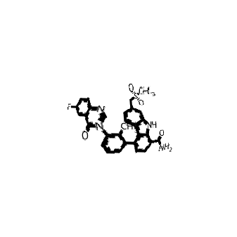 Cc1c(-c2ccc(C(N)=O)c3[nH]c4cc(CS(C)(=O)=O)ccc4c23)cccc1-n1cnc2ccc(F)cc2c1=O